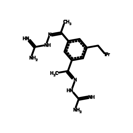 C/C(=N/NC(=N)N)c1cc(CC(C)C)cc(/C(C)=N/NC(=N)N)c1